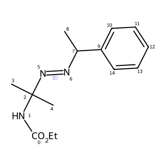 CCOC(=O)NC(C)(C)/N=N/C(C)c1ccccc1